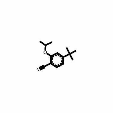 CC(C)Oc1cc(C(C)(C)C)ccc1C#N